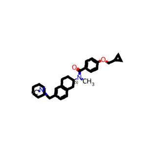 CN(C(=O)c1ccc(OCC2CC2)cc1)[C@H]1CCc2cc(CN3CC4CCC3CC4)ccc2C1